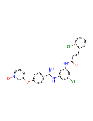 N=C(Nc1cc(Cl)cc(NC(=O)C=Cc2ccccc2Cl)c1)c1ccc(Oc2ccc[n+]([O-])c2)cc1